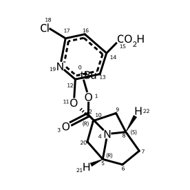 CC(C)(C)OC(=O)N1[C@@H]2CC[C@H]1C[C@@H](Oc1cc(C(=O)O)cc(Cl)n1)C2